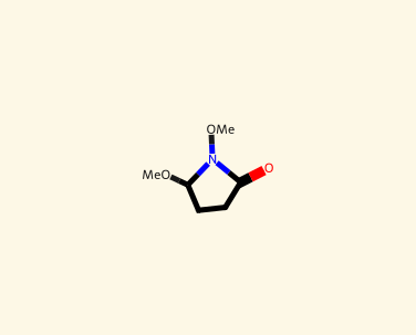 COC1CCC(=O)N1OC